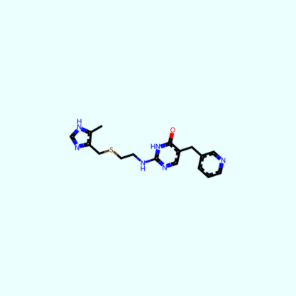 Cc1[nH]cnc1CSCCNc1ncc(Cc2cccnc2)c(=O)[nH]1